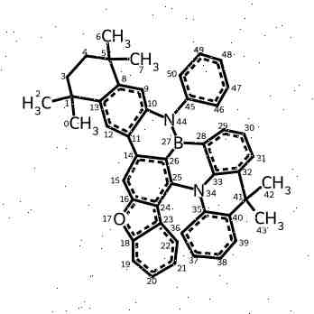 CC1(C)CCC(C)(C)c2cc3c(cc21)-c1cc2oc4ccccc4c2c2c1B(c1cccc4c1N2c1ccccc1C4(C)C)N3c1ccccc1